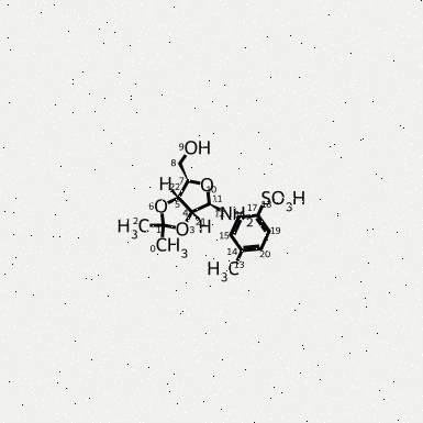 CC1(C)O[C@@H]2[C@H](O1)[C@@H](CO)O[C@H]2N.Cc1ccc(S(=O)(=O)O)cc1